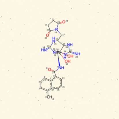 Cc1cccc2c(C(=O)N[C@H]3CN4C(=N)NC(CN5C(=O)CCC5=O)C5NC(=N)NC54C3(O)O)cccc12